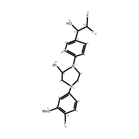 CSc1cc(N2CCN(c3ccc(C(O)C(F)F)cn3)C(C(C)C)C2)ccc1F